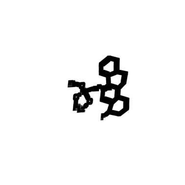 CCCCC[Si](OCC)(OCC)OCC.FC1CC=Cc2c1ccc1c2ccc2ccccc21